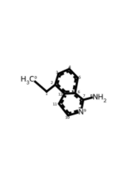 CCc1cccc2c(N)nccc12